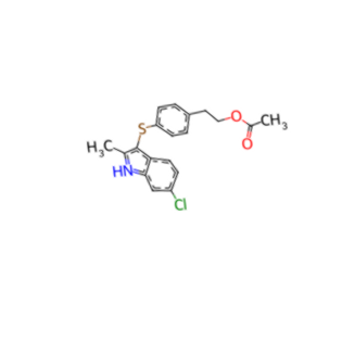 CC(=O)OCCc1ccc(Sc2c(C)[nH]c3cc(Cl)ccc23)cc1